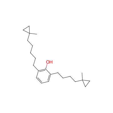 CC1(CCCCCc2cccc(CCCCC3(C)CC3)c2O)CC1